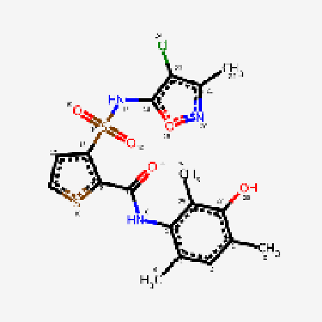 Cc1cc(C)c(NC(=O)c2sccc2S(=O)(=O)Nc2onc(C)c2Cl)c(C)c1O